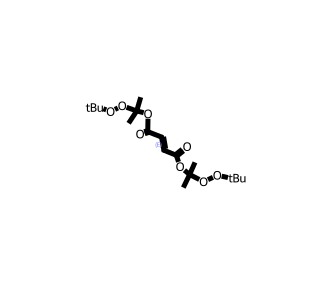 CC(C)(C)OOC(C)(C)OC(=O)/C=C/C(=O)OC(C)(C)OOC(C)(C)C